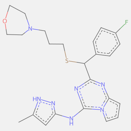 Cc1cc(Nc2nc(C(SCCCN3CCOCC3)c3ccc(F)cc3)nc3cccn23)n[nH]1